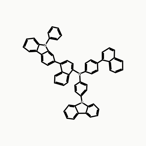 c1ccc(-n2c3ccccc3c3ccc(-c4ccc(N(c5ccc(-c6cccc7ccccc67)cc5)c5ccc(-n6c7ccccc7c7ccccc76)cc5)c5ccccc45)cc32)cc1